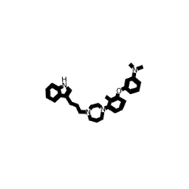 Cc1c(Oc2cccc(N(C)C)c2)cccc1N1CCCN(CCCc2c[nH]c3ccccc23)CC1